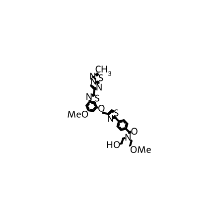 COCCN(CCO)C(=O)c1ccc(-c2nc(COc3cc(OC)cc4nc(-c5cn6nc(C)sc6n5)sc34)cs2)cc1